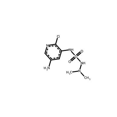 CN(C)NS(=O)(=O)Nc1cc(N)cnc1Cl